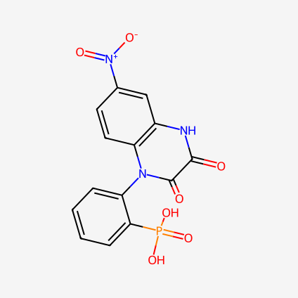 O=c1[nH]c2cc([N+](=O)[O-])ccc2n(-c2ccccc2P(=O)(O)O)c1=O